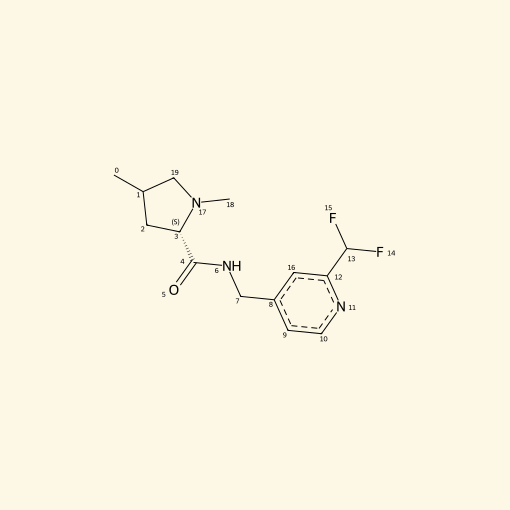 CC1C[C@@H](C(=O)NCc2ccnc(C(F)F)c2)N(C)C1